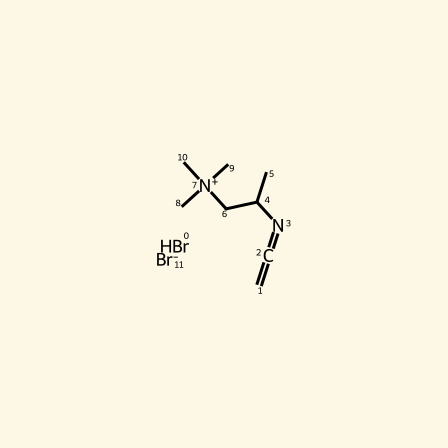 Br.C=C=NC(C)C[N+](C)(C)C.[Br-]